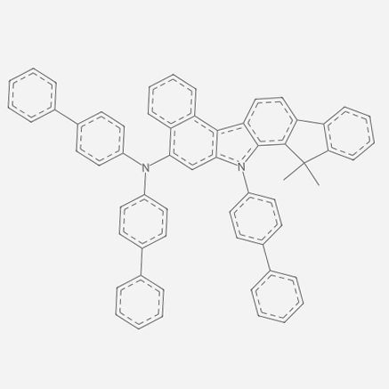 CC1(C)c2ccccc2-c2ccc3c4c5ccccc5c(N(c5ccc(-c6ccccc6)cc5)c5ccc(-c6ccccc6)cc5)cc4n(-c4ccc(-c5ccccc5)cc4)c3c21